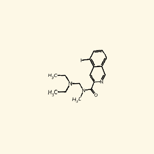 CCN(CC)CN(C)C(=O)c1cc2c(I)cccc2cn1